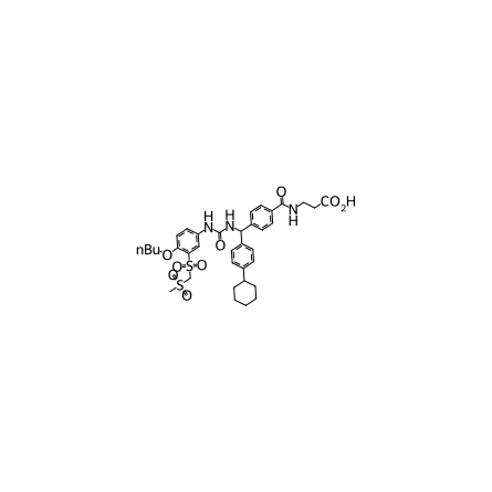 CCCCOc1ccc(NC(=O)NC(c2ccc(C(=O)NCCC(=O)O)cc2)c2ccc(C3CCCCC3)cc2)cc1S(=O)(=O)CS(C)(=O)=O